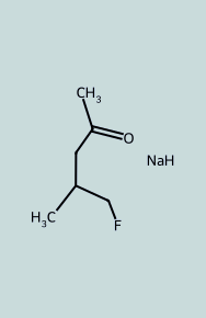 CC(=O)CC(C)CF.[NaH]